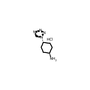 Cl.N[C@H]1CC[C@H](n2cnnn2)CC1